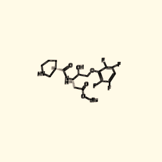 CC(C)(C)OC(=O)C[C@H](NC(=O)[C@H]1CCCNC1)C(O)COc1c(F)c(F)cc(F)c1F